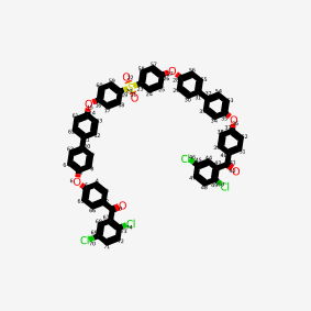 O=C(c1ccc(Oc2ccc(-c3ccc(Oc4ccc(S(=O)(=O)c5ccc(Oc6ccc(-c7ccc(Oc8ccc(C(=O)c9cc(Cl)ccc9Cl)cc8)cc7)cc6)cc5)cc4)cc3)cc2)cc1)c1cc(Cl)ccc1Cl